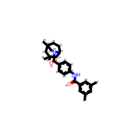 Cc1cc(C)cc(C(=O)Nc2ccc(C(=O)N3CC4(C)CCC3CC(C)(C)C4)cc2)c1